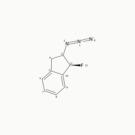 [N-]=[N+]=NC1Cc2ccccc2[C@@H]1F